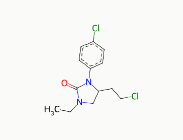 CCN1CC(CCCl)N(c2ccc(Cl)cc2)C1=O